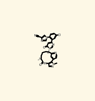 C[C@@H]1CCC[C@H](n2cnc(-c3cc(Cl)ccc3-n3cnc(C#N)c3)cc2=O)c2cc(ccn2)-c2c(cnn2C)NC1=O